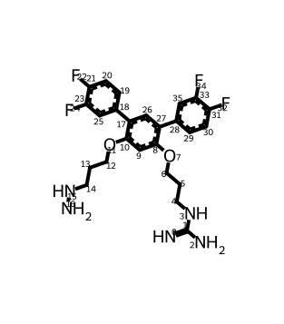 N=C(N)NCCCOc1cc(OCCCNN)c(-c2ccc(F)c(F)c2)cc1-c1ccc(F)c(F)c1